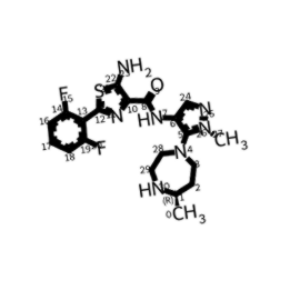 C[C@@H]1CCN(c2c(NC(=O)c3nc(-c4c(F)cccc4F)sc3N)cnn2C)CCN1